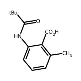 Cc1cccc(NC(=O)C(C)(C)C)c1C(=O)O